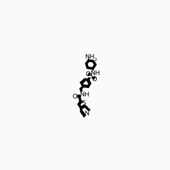 N[C@H]1CC[C@@H](NS(=O)(=O)c2ccc(CNC(=O)c3cc4ccncc4s3)cc2)CC1